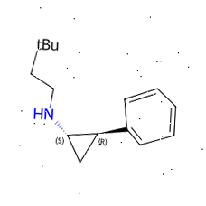 CC(C)(C)CCN[C@H]1C[C@@H]1c1ccccc1